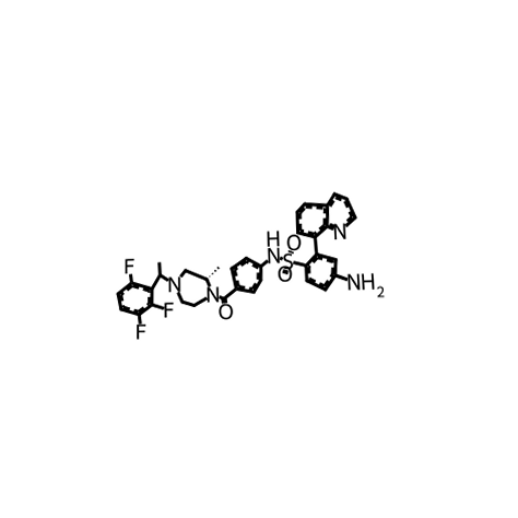 CC(c1c(F)ccc(F)c1F)N1CCN(C(=O)c2ccc(NS(=O)(=O)c3ccc(N)cc3-c3cccc4cccnc34)cc2)[C@@H](C)C1